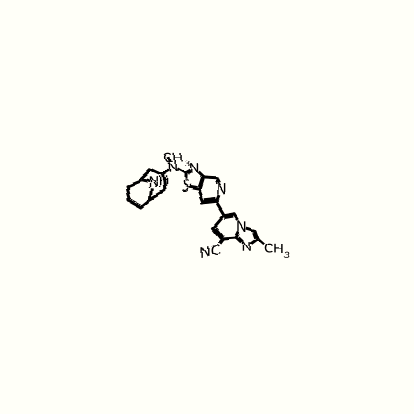 Cc1cn2cc(-c3cc4sc(N(C)C5CC6CCCC(C5)N6)nc4cn3)cc(C#N)c2n1